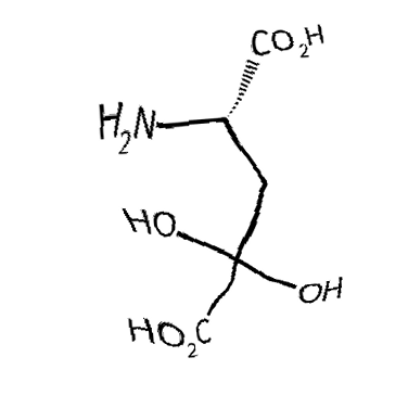 N[C@@H](CC(O)(O)C(=O)O)C(=O)O